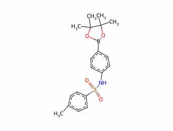 Cc1ccc(S(=O)(=O)Nc2ccc(B3OC(C)(C)C(C)(C)O3)cc2)cc1